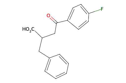 O=C(CC(Cc1ccccc1)C(=O)O)c1ccc(F)cc1